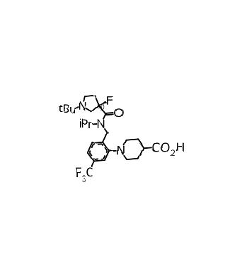 CC(C)N(Cc1ccc(C(F)(F)F)cc1N1CCC(C(=O)O)CC1)C(=O)[C@@]1(F)CCN(C(C)(C)C)C1